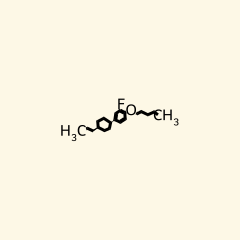 CCCCCOc1ccc([C@H]2CC[C@H](CCC)CC2)cc1F